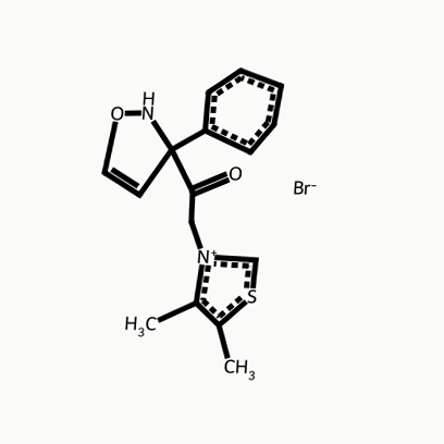 Cc1sc[n+](CC(=O)C2(c3ccccc3)C=CON2)c1C.[Br-]